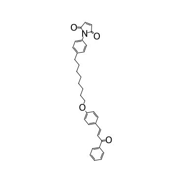 O=C(/C=C/c1ccc(OCCCCCCCCc2ccc(N3C(=O)C=CC3=O)cc2)cc1)c1ccccc1